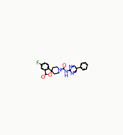 O=C1OC2(CCN(C(=O)Nc3ncc(-c4ccccc4)cn3)CC2)c2ccc(F)cc21